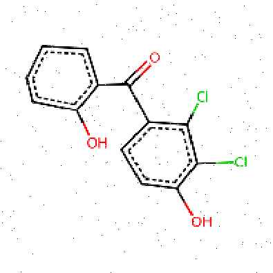 O=C(c1ccccc1O)c1ccc(O)c(Cl)c1Cl